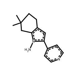 CC1(C)CCc2cc(-c3ccncc3)n(N)c2C1